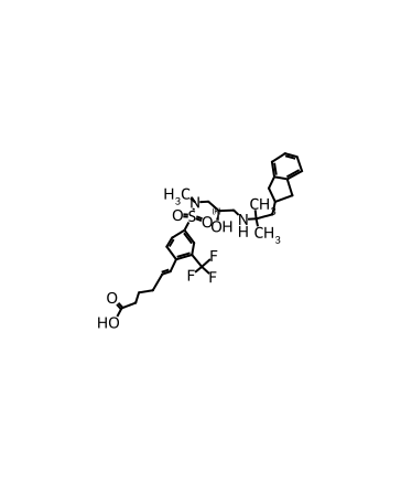 CN(C[C@H](O)CNC(C)(C)CC1Cc2ccccc2C1)S(=O)(=O)c1ccc(C=CCCCC(=O)O)c(C(F)(F)F)c1